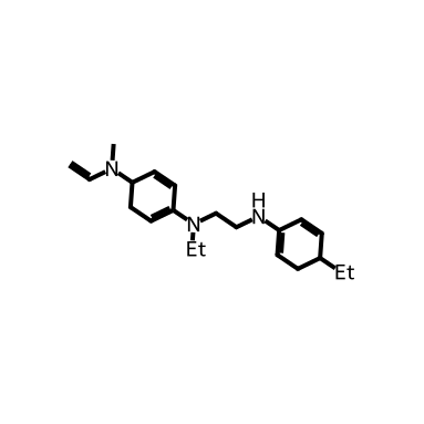 C=CN(C)C1C=CC(N(CC)CCNC2=CCC(CC)C=C2)=CC1